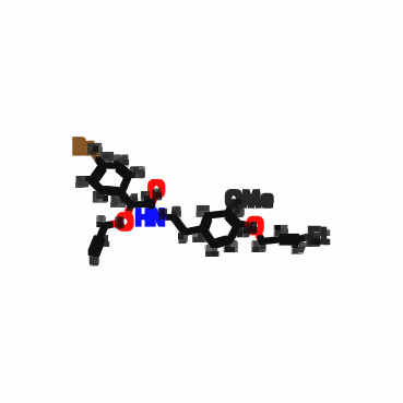 C#CCO[C@H](C(=O)NCCc1ccc(OCC#CCC)c(OC)c1)c1ccc(Br)cc1